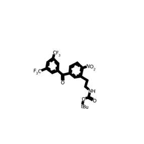 CC(C)(C)OC(=O)NCCc1cc(C(=O)c2cc(C(F)(F)F)cc(C(F)(F)F)c2)ccc1[N+](=O)[O-]